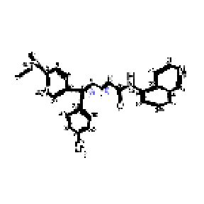 CN(C)c1ccc(/C(=C/C=C/C(=O)Nc2cccc3cnccc23)c2ccc(C(F)(F)F)cc2)cn1